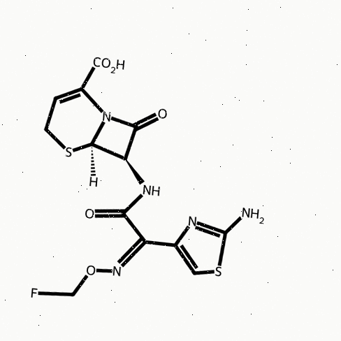 Nc1nc(/C(=N/OCF)C(=O)N[C@@H]2C(=O)N3C(C(=O)O)=CCS[C@H]23)cs1